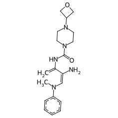 C=C(NC(=O)N1CCN(C2COC2)CC1)/C(N)=C\N(C)c1ccccc1